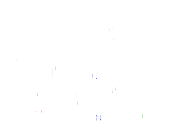 Clc1nc2c(nc1Cc1ccccc1)-c1ccccc1OC2